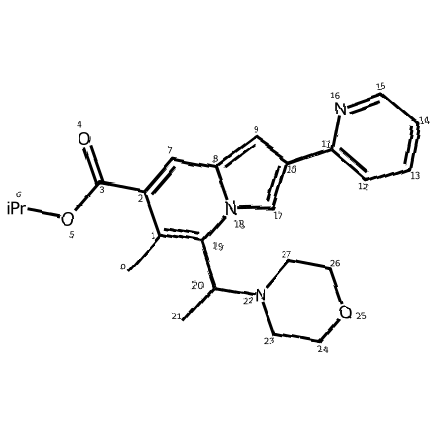 Cc1c(C(=O)OC(C)C)cc2cc(-c3ccccn3)cn2c1C(C)N1CCOCC1